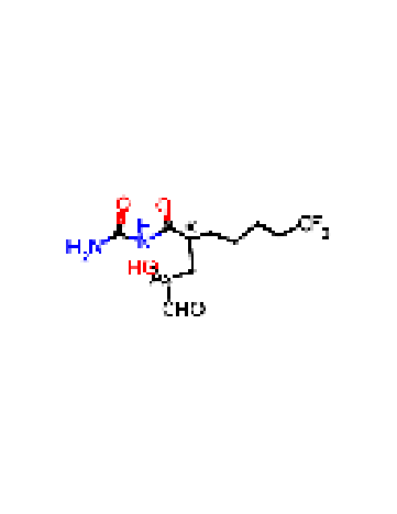 NC(=O)NC(=O)[C@@H](CCCCC(F)(F)F)C[As](O)C=O